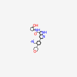 CN(C)Cc1cc(-c2cnc3[nH]cc(C(=O)N[C@@H]4CCC[C@@H]4O)c3c2)ccc1C1CCOCC1